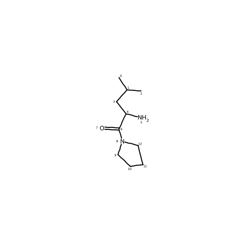 CC(C)CC(N)C(=O)N1CCCC1